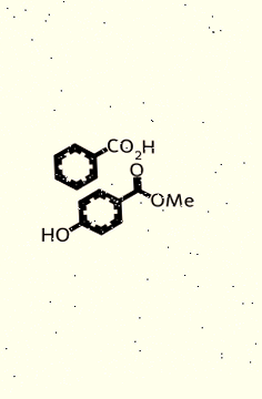 COC(=O)c1ccc(O)cc1.O=C(O)c1ccccc1